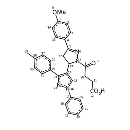 COc1ccc(C2=NN(C(=O)CCC(=O)O)C(c3cn(-c4ccccc4)nc3-c3ccc(C)cc3)C2)cc1